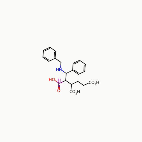 O=C(O)CCC(C(=O)O)C(C(NCc1ccccc1)c1ccccc1)[PH](=O)O